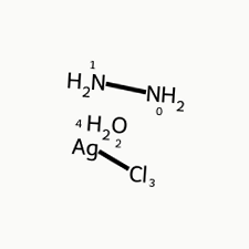 NN.O.[Cl][Ag]